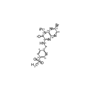 CC(C)n1c(=O)c(NCc2ccc(S(C)(=O)=O)cn2)nc2ncc(Br)nc21